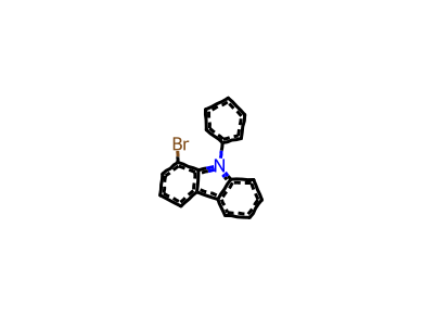 Brc1cccc2c3ccccc3n(-c3ccccc3)c12